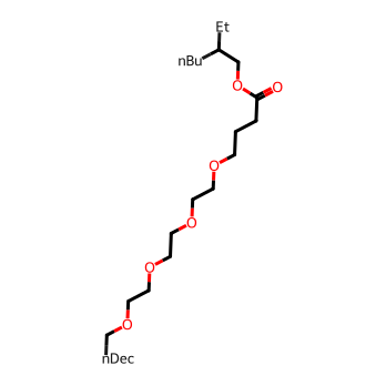 CCCCCCCCCCCOCCOCCOCCOCCCC(=O)OCC(CC)CCCC